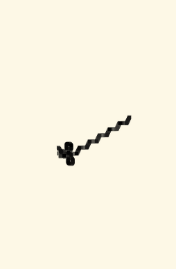 CCCCCCCCCCCCS(=O)(=O)[N]C